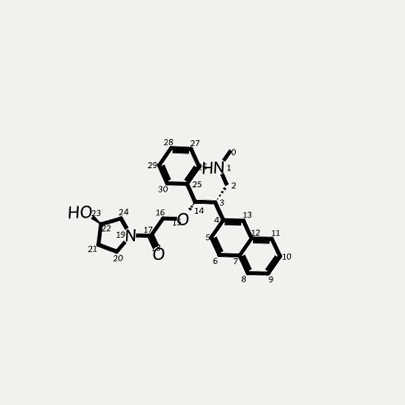 CNC[C@H](c1ccc2ccccc2c1)[C@H](OCC(=O)N1CC[C@@H](O)C1)c1ccccc1